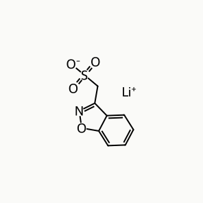 O=S(=O)([O-])Cc1noc2ccccc12.[Li+]